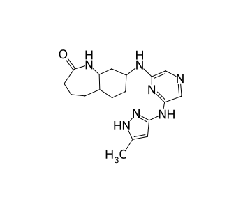 Cc1cc(Nc2cncc(NC3CCC4CCCC(=O)NC4C3)n2)n[nH]1